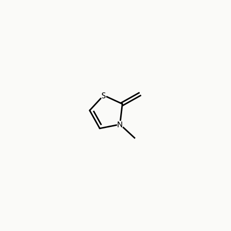 C=C1SC=CN1C